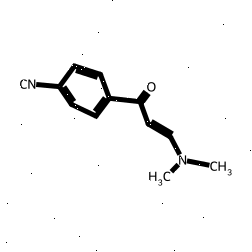 [C-]#[N+]c1ccc(C(=O)/C=C/N(C)C)cc1